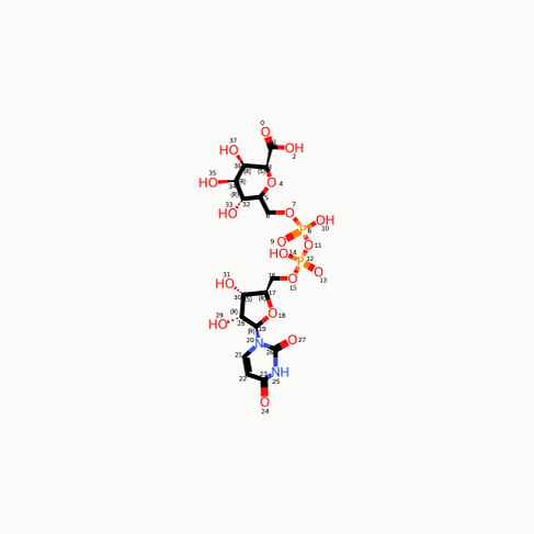 O=C(O)[C@H]1OC(COP(=O)(O)OP(=O)(O)OC[C@H]2O[C@@H](n3ccc(=O)[nH]c3=O)[C@H](O)[C@@H]2O)[C@H](O)[C@@H](O)[C@H]1O